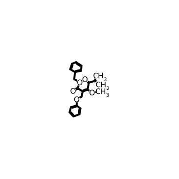 C=C(C)C(=O)C(OC)=C(COc1ccccc1)C(=O)OCc1ccccc1